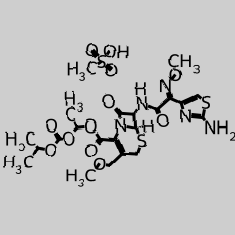 COCC1=C(C(=O)OC(C)OC(=O)OC(C)C)N2C(=O)[C@@H](NC(=O)C(=NOC)c3csc(N)n3)[C@H]2SC1.CS(=O)(=O)O